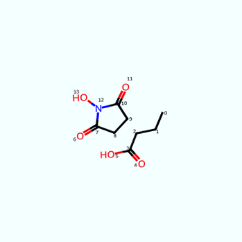 CCCC(=O)O.O=C1CCC(=O)N1O